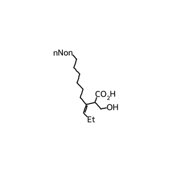 CCC=C(CCCCCCCCCCCCCCC)C(CO)C(=O)O